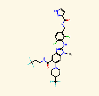 Cn1c(Nc2c(Cl)ccc(CNC(=O)c3cc[nH]n3)c2Cl)nc2cc(C(=O)NCCC(F)(F)F)c(N3CCC(C(F)(F)F)CC3)cc21